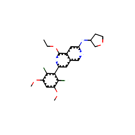 CCOc1nc(-c2c(Cl)c(OC)cc(OC)c2Cl)cc2cnc(NC3CCOC3)cc12